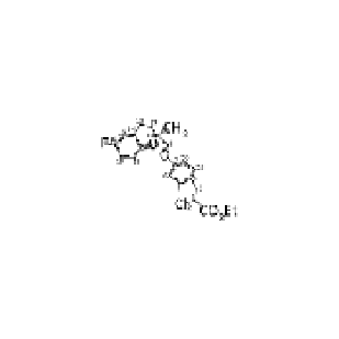 CCOC(=O)C(Cl)Cc1ccc(OCC2(C)CCc3cc(F)ccc3O2)cc1